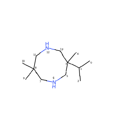 CC(C)C1(C)CNCC(C)(C)CNC1